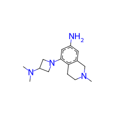 CN1CCc2c(cc(N)cc2N2CC(N(C)C)C2)C1